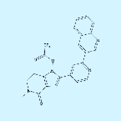 CN1CCc2c(cc(-c3ccnc(-c4cnc5ccccc5c4)c3)n2OC(=O)C(F)(F)F)C1=O